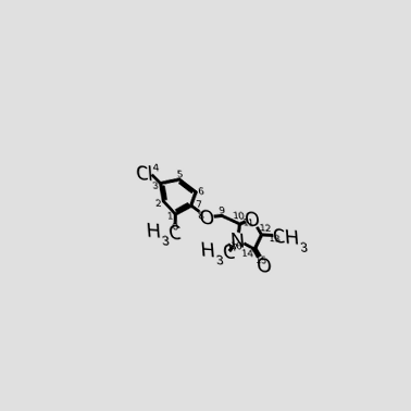 Cc1cc(Cl)ccc1OCC1OC(C)C(=O)N1C